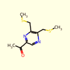 CSCc1ncc(C(C)=O)nc1CSC